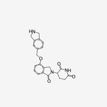 O=C1CCC(N2Cc3c(OCc4ccc5c(c4)CNC5)cccc3C2=O)C(=O)N1